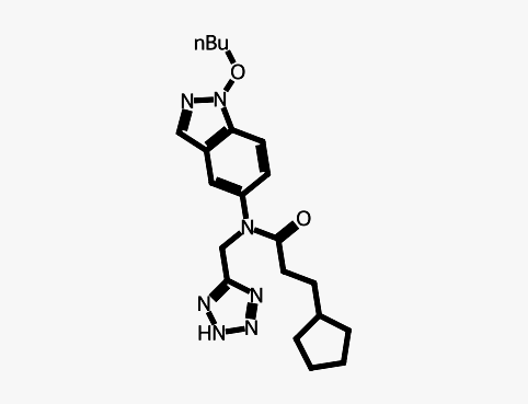 CCCCOn1ncc2cc(N(Cc3nn[nH]n3)C(=O)CCC3CCCC3)ccc21